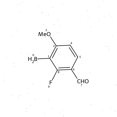 Bc1c(OC)ccc(C=O)c1F